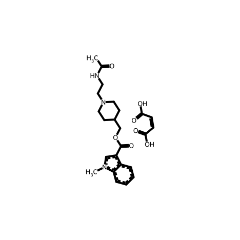 CC(=O)NCCN1CCC(COC(=O)c2cn(C)c3ccccc23)CC1.O=C(O)/C=C\C(=O)O